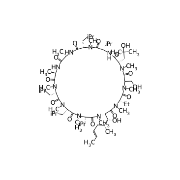 C/C=C/C[C@@H](C)[C@@H](O)[C@H]1C(=O)N(C)[C@@H](CC)C(=O)N(C)C(CO)C(=O)N(C)[C@@H](CC(C)(C)O)C(=O)N[C@@H](C(C)C)C(=O)N(C)[C@@H](CC(C)C)C(=O)N[C@@H](C)C(=O)N[C@H](C)C(=O)N(C)[C@@H](CC(C)C)C(=O)N(C)[C@@H](CC(C)C)C(=O)N(C)[C@@H](C(C)C)C(=O)N1C